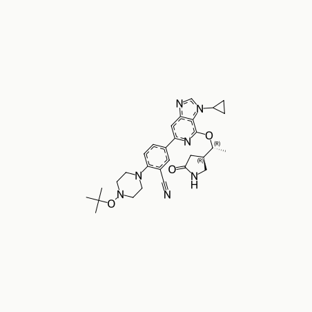 C[C@@H](Oc1nc(-c2ccc(N3CCN(OC(C)(C)C)CC3)c(C#N)c2)cc2ncn(C3CC3)c12)[C@H]1CNC(=O)C1